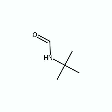 CC(C)(C)NC=O